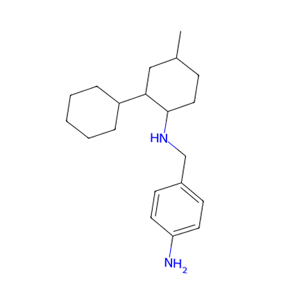 CC1CCC(NCc2ccc(N)cc2)C(C2CCCCC2)C1